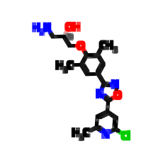 Cc1cc(-c2nc(-c3cc(C)c(OC[C@@H](O)CN)c(C)c3)no2)cc(Cl)n1